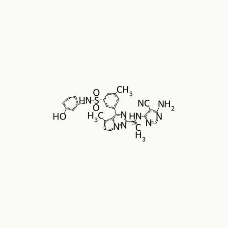 Cc1cc(-c2nc([C@H](C)Nc3ncnc(N)c3C#N)nn3ccc(C)c23)cc(S(=O)(=O)NCc2cccc(O)c2)c1